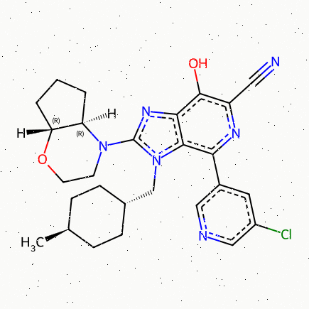 C[C@H]1CC[C@H](Cn2c(N3CCO[C@@H]4CCC[C@H]43)nc3c(O)c(C#N)nc(-c4cncc(Cl)c4)c32)CC1